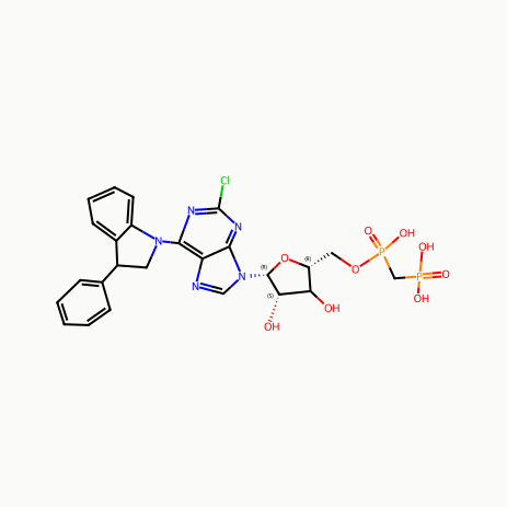 O=P(O)(O)CP(=O)(O)OC[C@H]1O[C@@H](n2cnc3c(N4CC(c5ccccc5)c5ccccc54)nc(Cl)nc32)[C@@H](O)C1O